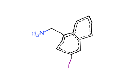 NCc1cc(I)cc2ccccc12